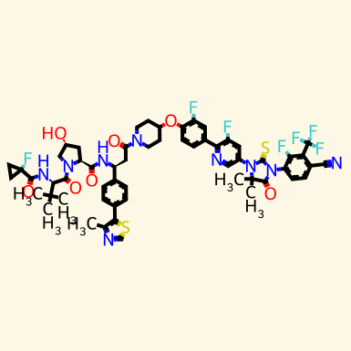 Cc1ncsc1-c1ccc([C@H](CC(=O)N2CCC(Oc3ccc(-c4ncc(N5C(=S)N(c6ccc(C#N)c(C(F)(F)F)c6F)C(=O)C5(C)C)cc4F)cc3F)CC2)NC(=O)[C@@H]2C[C@@H](O)CN2C(=O)[C@@H](NC(=O)C2(F)CC2)C(C)(C)C)cc1